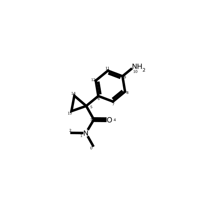 CN(C)C(=O)C1(c2ccc(N)cc2)CC1